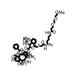 COCCOCCOCCC(=O)NCCCCC(NC(=O)CSCC(=O)O[C@@H](C(=O)OC1C[C@@]2(O)[C@@H](OC(=O)c3ccccc3)[C@@H]3[C@]4(OC(C)=O)CO[C@@H]4C[C@H](O)[C@@]3(C)C(=O)[C@H](O)[C@H](C1C)C2(C)C)[C@@H](NC(=O)OC(C)(C)C)c1ccccc1)C(C)=O